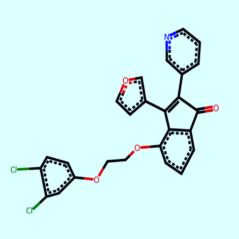 O=C1C(c2cccnc2)=C(c2ccoc2)c2c(OCCOc3ccc(Cl)c(Cl)c3)cccc21